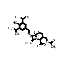 CC(=O)OCC1=C(C(=O)[O-])N2C(=O)[C@@H](N=Cc3cc(C(C)C)c(O)c(C(C)C)c3)[C@@H]2SC1.[Li+]